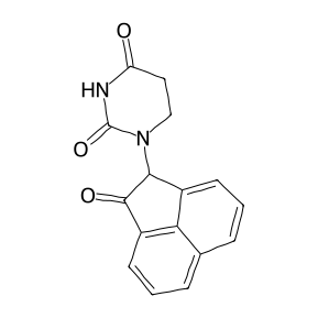 O=C1CCN(C2C(=O)c3cccc4cccc2c34)C(=O)N1